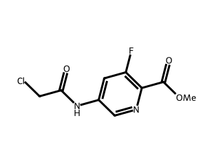 COC(=O)c1ncc(NC(=O)CCl)cc1F